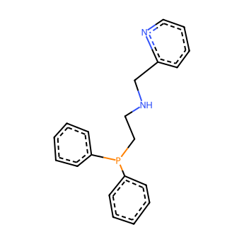 c1ccc(P(CCNCc2ccccn2)c2ccccc2)cc1